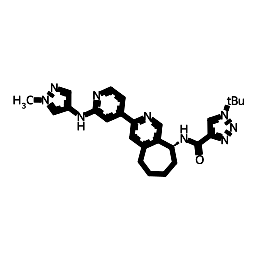 Cn1cc(Nc2cc(-c3cc4c(cn3)[C@H](NC(=O)c3cn(C(C)(C)C)nn3)CCCC4)ccn2)cn1